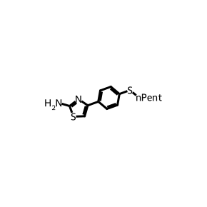 CCCCCSc1ccc(-c2csc(N)n2)cc1